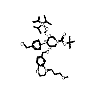 COCCCN1CCOc2ccc(CO[C@H]3CN(C(=O)OC(C)(C)C)C[C@@H](CO[Si](C(C)C)(C(C)C)C(C)C)[C@@H]3c3ccc(CCl)cc3)cc21